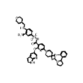 CC(C)c1ccccc1C1CCCN1C1CC2(CCN(c3ccc(C(=O)NS(=O)(=O)c4ccc(NCC5CCOCC5)c([N+](=O)[O-])c4)c(Oc4cnc5[nH]ccc5c4)n3)CC2)C1